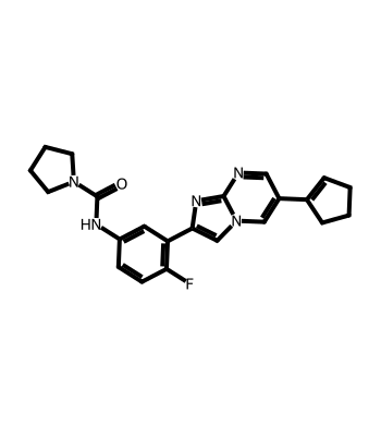 O=C(Nc1ccc(F)c(-c2cn3cc(C4=CCCC4)cnc3n2)c1)N1CCCC1